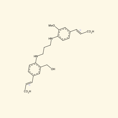 COc1cc(/C=C/C(=O)O)ccc1NCCCNc1ccc(/C=C/C(=O)O)cc1CO